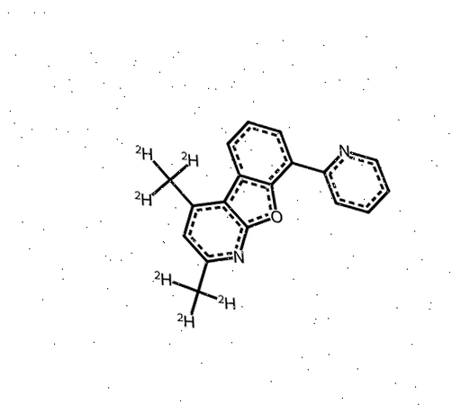 [2H]C([2H])([2H])c1cc(C([2H])([2H])[2H])c2c(n1)oc1c(-c3ccccn3)cccc12